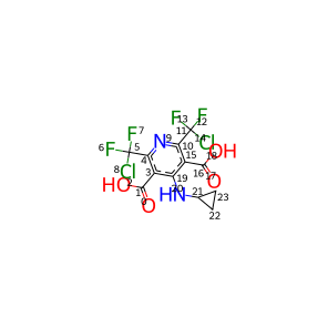 O=C(O)c1c(C(F)(F)Cl)nc(C(F)(F)Cl)c(C(=O)O)c1NC1CC1